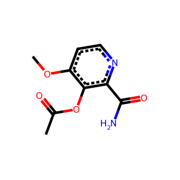 COc1ccnc(C(N)=O)c1OC(C)=O